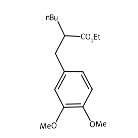 CCCCC(Cc1ccc(OC)c(OC)c1)C(=O)OCC